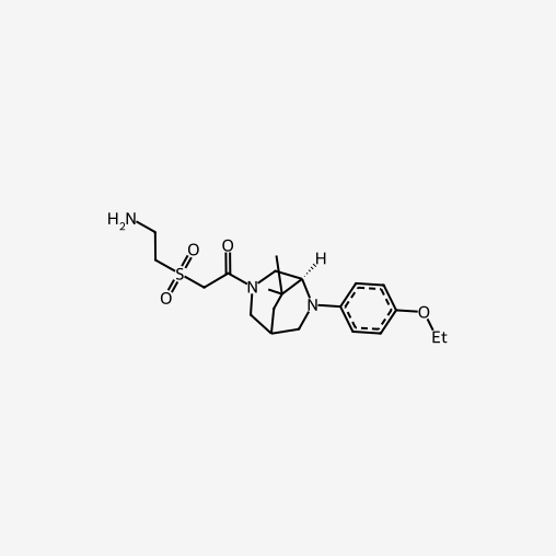 CCOc1ccc(N2CC3CN(C(=O)CS(=O)(=O)CCN)C[C@@H]2C(C)(C)C3)cc1